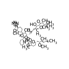 C/C=C/C=C(\C)[C@H](C[C@@H]1CC[C@@H](C)[C@](O)(C(=O)C(=O)N2CCCC[C@H]2C(=O)O[C@@H](CC(=O)C/C=C(\C)[C@@H](O)[C@@H](OC)C(=O)[C@H](C)CC(C)C)[C@H](C)C[C@@H]2CC[C@H](n3cnnn3)[C@H](OC)C2)O1)OC